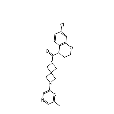 Cc1cncc(N2CC3(CN(C(=O)N4CCOc5cc(Cl)ccc54)C3)C2)n1